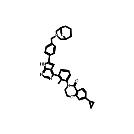 Cc1c(-c2ncnc3[nH]c(-c4ccc(CN5CC6CCCC(CC6)C5)cc4)cc23)cccc1N1CCOc2cc(C3CC3)ccc2C1=O